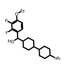 CCCC1CCC(C2CCC(C(O)c3ccc(OCC)c(F)c3F)CC2)CC1